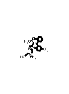 C#CCN(C)Cc1nnc(CN(C)C)n1-c1ccc(C(F)(F)F)cc1C(=O)c1ccccc1Cl